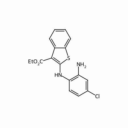 CCOC(=O)c1c(Nc2ccc(Cl)cc2N)sc2ccccc12